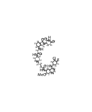 COc1cc2ncnc(Nc3ccc(F)c(Cl)c3)c2cc1NC(=O)/C=C/CN1CCC(NC(=O)CNc2cccc3c2CN(C2CCC(=O)NC2=O)C3=O)CC1